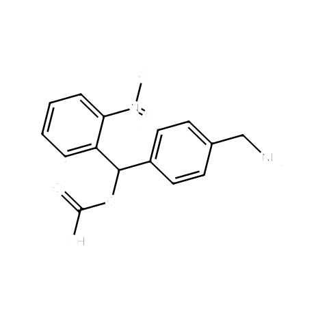 CC(=O)OC(c1ccc(CN)cc1)c1ccccc1[N+](=O)[O-]